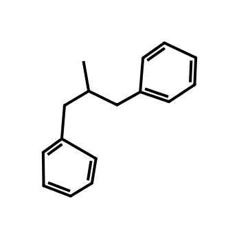 CC(Cc1ccccc1)Cc1ccccc1